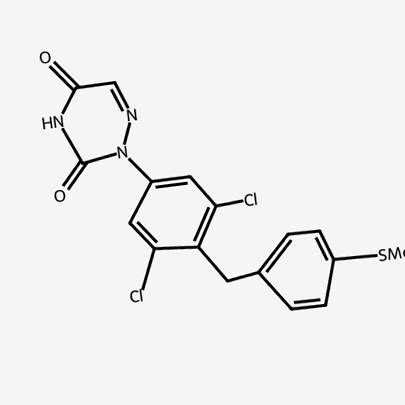 CSc1ccc(Cc2c(Cl)cc(-n3ncc(=O)[nH]c3=O)cc2Cl)cc1